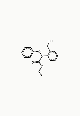 CCOC(=O)C(Oc1ccccc1)c1ccccc1CO